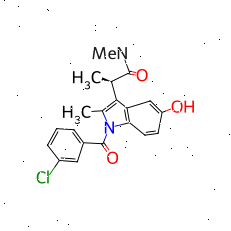 CNC(=O)[C@H](C)c1c(C)n(C(=O)c2cccc(Cl)c2)c2ccc(O)cc12